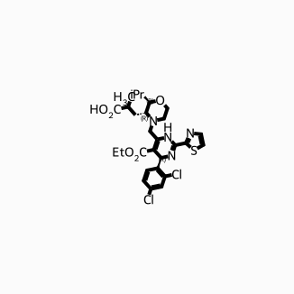 CCOC(=O)C1=C(CN2CCO[C@H](C(C)C)[C@H]2CC(C)C(=O)O)NC(c2nccs2)=N[C@H]1c1ccc(Cl)cc1Cl